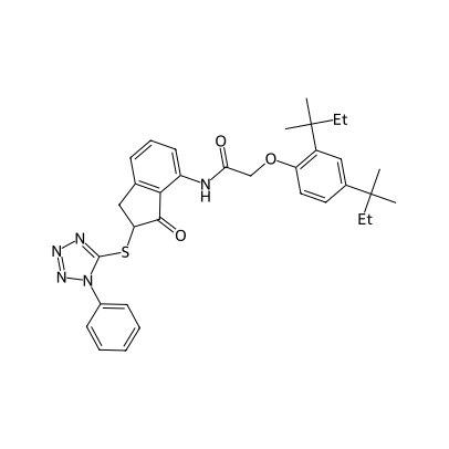 CCC(C)(C)c1ccc(OCC(=O)Nc2cccc3c2C(=O)C(Sc2nnnn2-c2ccccc2)C3)c(C(C)(C)CC)c1